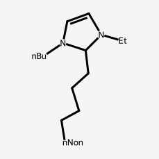 CCCCCCCCCCCCCC1N(CC)C=CN1CCCC